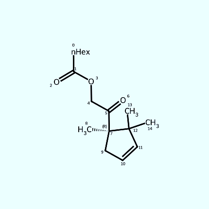 CCCCCCC(=O)OCC(=O)[C@]1(C)CC=CC1(C)C